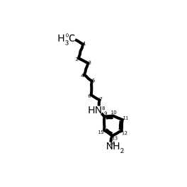 CCCCCCCCNc1cccc(N)c1